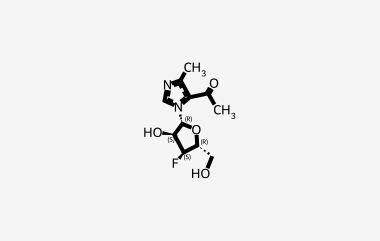 CC(=O)c1c(C)ncn1[C@@H]1O[C@H](CO)[C@@H](F)[C@H]1O